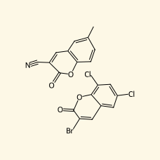 Cc1ccc2oc(=O)c(C#N)cc2c1.O=c1oc2c(Cl)cc(Cl)cc2cc1Br